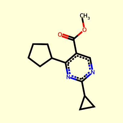 COC(=O)c1cnc(C2CC2)nc1C1CCCC1